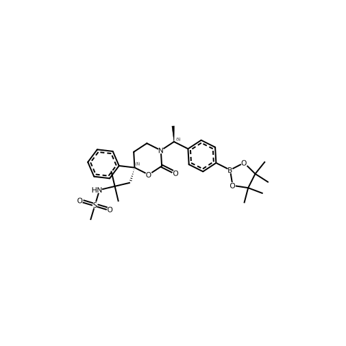 C[C@@H](c1ccc(B2OC(C)(C)C(C)(C)O2)cc1)N1CC[C@](CC(C)(C)NS(C)(=O)=O)(c2ccccc2)OC1=O